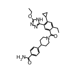 CCOc1nnc(-c2cc(C(=O)N3CCC(c4ccc(C(N)=O)cc4)CC3)c(CC)cc2C2CC2)[nH]1